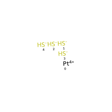 [Pt+4].[SH-].[SH-].[SH-].[SH-]